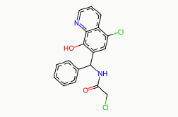 O=C(CCl)NC(c1ccccc1)c1cc(Cl)c2cccnc2c1O